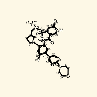 CN(C)CC1CCN(c2cc(F)c(-c3cnc(N4CCOCC4)nc3)cc2NC(=O)c2c[nH]c(=O)cc2C(F)(F)F)C1